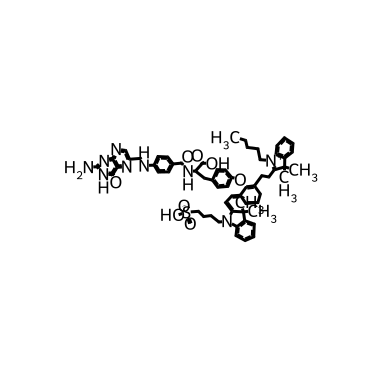 CCCCC[N+]1=C(CCC2=C(Oc3ccc(CC(NC(=O)c4ccc(NCc5cnc6nc(N)[nH]c(=O)c6n5)cc4)C(=O)O)cc3)/C(=C/C=C3/N(CCCCS(=O)(=O)O)c4ccccc4C3(C)C)CCC2)C(C)(C)c2ccccc21